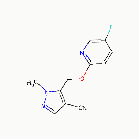 Cn1ncc(C#N)c1COc1ccc(F)cn1